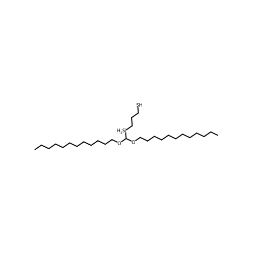 CCCCCCCCCCCCOC(OCCCCCCCCCCCC)[SiH2]CCCS